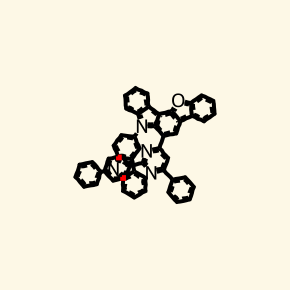 c1ccc(-c2cc(-c3cc4c5ccccc5oc4c4c5ccccc5n(-c5ccc6c(c5)c5ccccc5n6-c5ccccc5)c34)nc(-c3ccccc3)n2)cc1